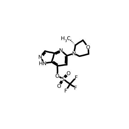 C[C@@H]1COCCN1c1cc(OS(=O)(=O)C(F)(F)F)c2[nH]ncc2n1